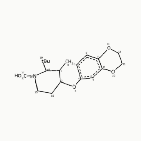 CC1C(Oc2ccc3c(c2)OCCO3)CCN(C(=O)O)C1C(C)(C)C